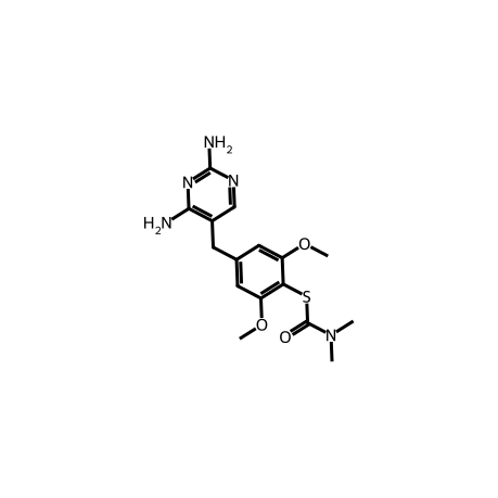 COc1cc(Cc2cnc(N)nc2N)cc(OC)c1SC(=O)N(C)C